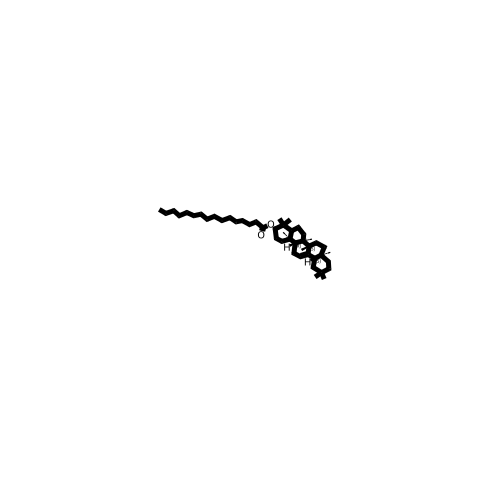 CCCCCCCCCCCCCCCC(=O)O[C@H]1CC[C@@]2(C)C(CC[C@]3(C)[C@@H]2CC=C2[C@H]4CC(C)(C)CC[C@]4(C)CC[C@]23C)C1(C)C